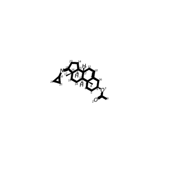 CC(=O)O[C@H]1CC[C@@]2(C)C(=CC[C@@H]3[C@@H]2CC[C@]2(C)/C(=N\C4CC4)CC[C@@H]32)C1